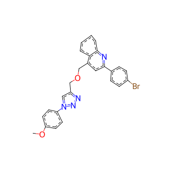 COc1ccc(-n2cc(COCc3cc(-c4ccc(Br)cc4)nc4ccccc34)nn2)cc1